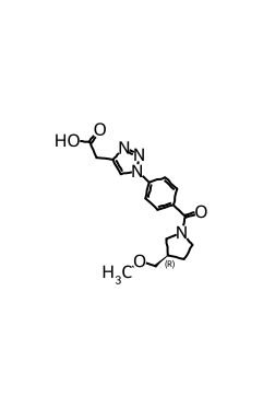 COC[C@@H]1CCN(C(=O)c2ccc(-n3cc(CC(=O)O)nn3)cc2)C1